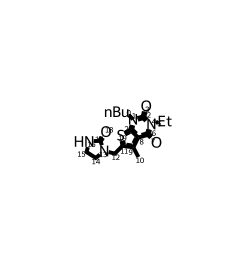 CCCCn1c(=O)n(CC)c(=O)c2c(C)c(CN3CCNC3=O)sc21